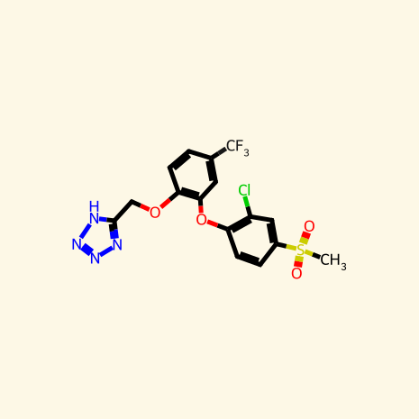 CS(=O)(=O)c1ccc(Oc2cc(C(F)(F)F)ccc2OCc2nnn[nH]2)c(Cl)c1